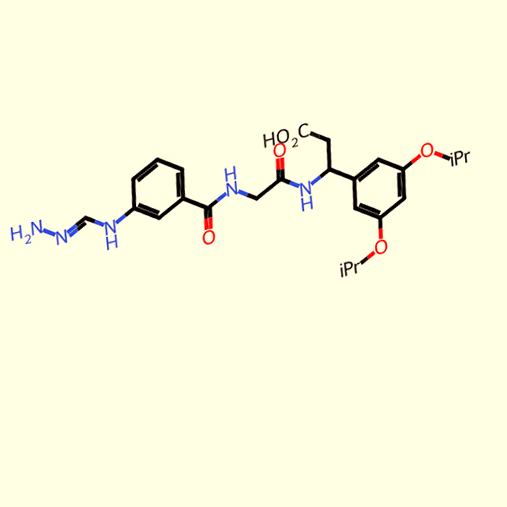 CC(C)Oc1cc(OC(C)C)cc(C(CC(=O)O)NC(=O)CNC(=O)c2cccc(NC=NN)c2)c1